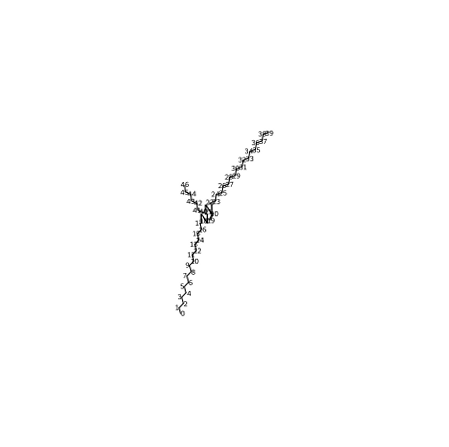 CCCCCCCCCCCCCCCCCCN1C=CN(CCCCCCCCCCCCCCCCCC)C1CCCCCC